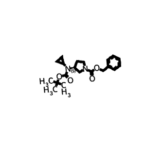 CC(C)(C)OC(=O)N(C1CC1)[C@H]1CCN(C(=O)OCc2ccccc2)C1